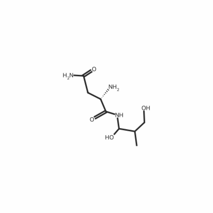 CC(CO)C(O)NC(=O)[C@@H](N)CC(N)=O